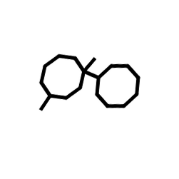 CC1CCCCC(C)(C2CCCCCCC2)CC1